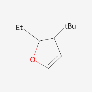 CCC1OC=CC1C(C)(C)C